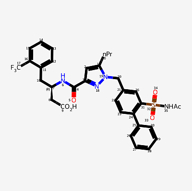 CCCc1cc(C(=O)N[C@@H](CC(=O)O)Cc2ccccc2C(F)(F)F)nn1Cc1ccc(-c2ccccc2)c(S(=O)(=O)NC(C)=O)c1